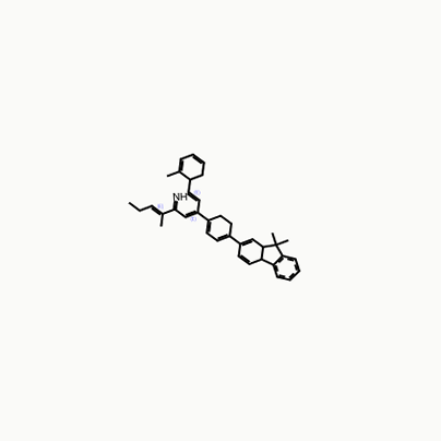 CC/C=C(\C)C(=N)/C=C(\C=C\C1CC=CC=C1C)C1=CC=C(C2=CC3C(C=C2)c2ccccc2C3(C)C)CC1